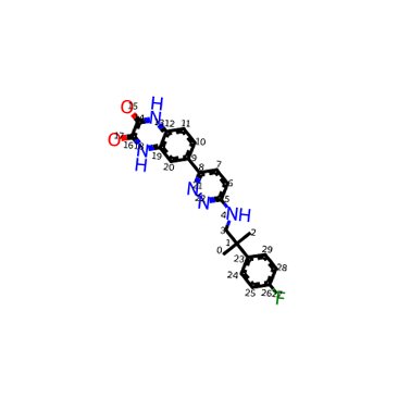 CC(C)(CNc1ccc(-c2ccc3[nH]c(=O)c(=O)[nH]c3c2)nn1)c1ccc(F)cc1